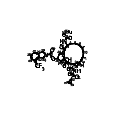 CC(C)(C)OC(=O)N[C@H]1CCCCC/C=C\[C@@H]2C[C@@]2(C(=O)NS(=O)(=O)C2CC2)NC(=O)[C@@H]2C[C@@H](OC(=O)N3Cc4cccc(C(F)(F)F)c4C3)CN2C1=O